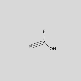 OP(F)#P